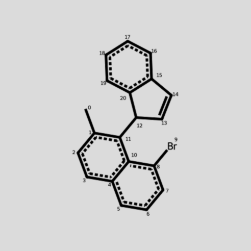 Cc1ccc2cccc(Br)c2c1C1C=Cc2ccccc21